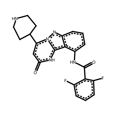 O=C(Nc1cccc2nn3c(C4CCNCC4)cc(=O)[nH]c3c12)c1c(F)cccc1F